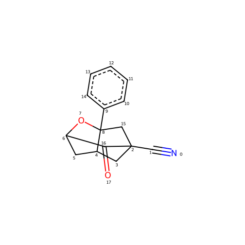 N#CC12CC3CC(OC3(c3ccccc3)C1)C2=O